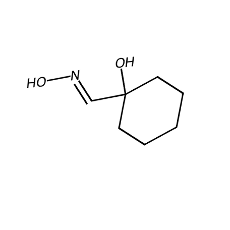 ON=CC1(O)CCCCC1